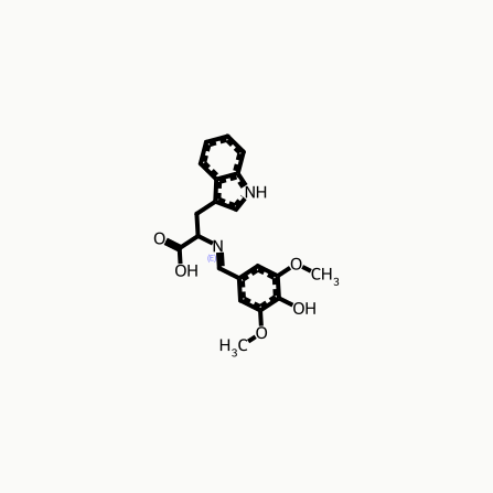 COc1cc(/C=N/C(Cc2c[nH]c3ccccc23)C(=O)O)cc(OC)c1O